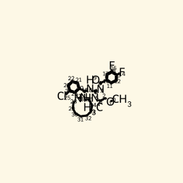 COC[C@H](C)N/C(=N/C(=O)c1ccc(F)c(F)c1)NC1c2cccc(Cl)c2N2CCCCCCCCN12